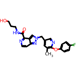 Cc1cc(Cn2cc3c(C(=O)NCCCO)nccc3n2)cnc1Oc1ccc(F)cc1